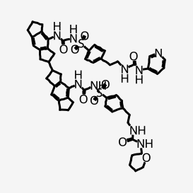 O=C(NCCc1ccc(S(=O)(=O)NC(=O)Nc2c3c(cc4c2CC(C2Cc5cc6c(c(NC(=O)NS(=O)(=O)c7ccc(CCNC(=O)NC8CCCCO8)cc7)c5C2)CCC6)C4)CCC3)cc1)Nc1cccnc1